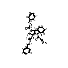 C[C@@H]1[C@H](OC(=O)OCc2ccccc2)[C@@H](NC(=O)OC(C)(C)C)[C@](C)(c2ccccc2)N1C(=O)OCc1ccccc1